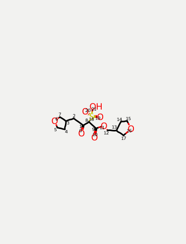 O=C(CC1CCOC1)C(C(=O)OCC1CCOC1)S(=O)(=O)O